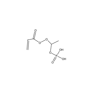 C=CC(=O)OOC(C)OP(=O)(O)O